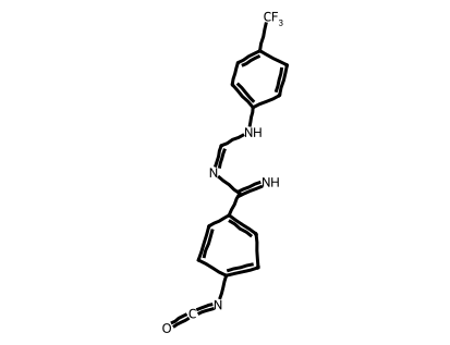 N=C(/N=C\Nc1ccc(C(F)(F)F)cc1)c1ccc(N=C=O)cc1